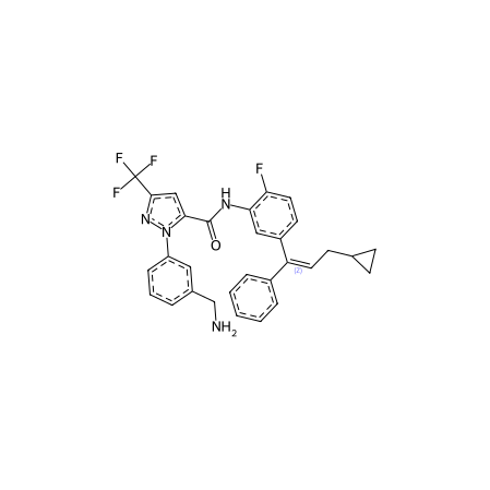 NCc1cccc(-n2nc(C(F)(F)F)cc2C(=O)Nc2cc(/C(=C\CC3CC3)c3ccccc3)ccc2F)c1